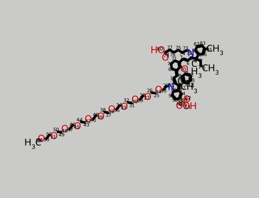 CCCC1(C)C(C=CC2=C(Oc3ccccc3)C(=CC=C3N(CCOCCOCCOCCOCCOCCOCCOCCOCCOCCOCCOC)c4ccc(S(=O)(=O)O)cc4C3(C)C)CCC2)=[N+](CCCCCC(=O)O)c2ccc(C)cc21